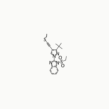 CCS(=O)(=O)n1c(-n2cc(C#CSI)c(C(C)(C)C)n2)nc2ccccc21